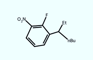 CCCCC(CC)c1cccc([N+](=O)[O-])c1F